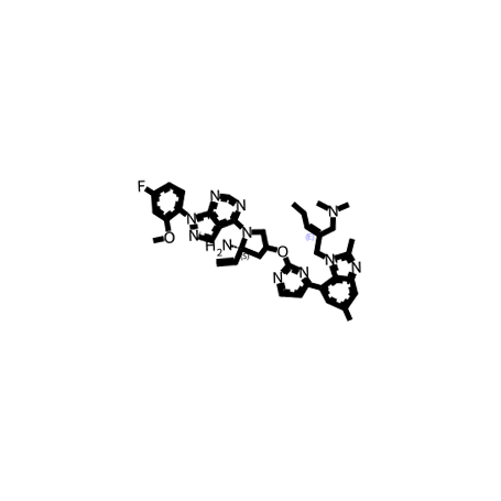 C=C[C@]1(N)CC(Oc2nccc(-c3cc(C)cc4nc(C)n(C/C(=C/CC)CN(C)C)c34)n2)CN1c1ncnc2c1cnn2-c1ccc(F)cc1OC